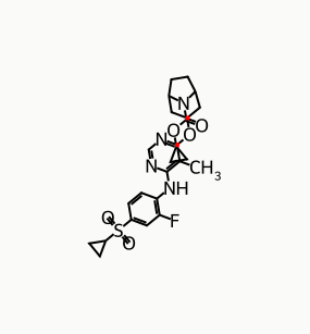 Cc1c(Nc2ccc(S(=O)(=O)C3CC3)cc2F)ncnc1OC1CC2CCC(C1)N2C(=O)OC1CC1